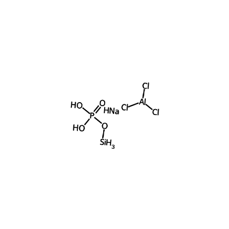 O=P(O)(O)O[SiH3].[Cl][Al]([Cl])[Cl].[NaH]